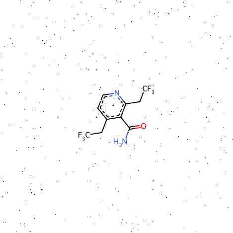 NC(=O)c1c(CC(F)(F)F)ccnc1CC(F)(F)F